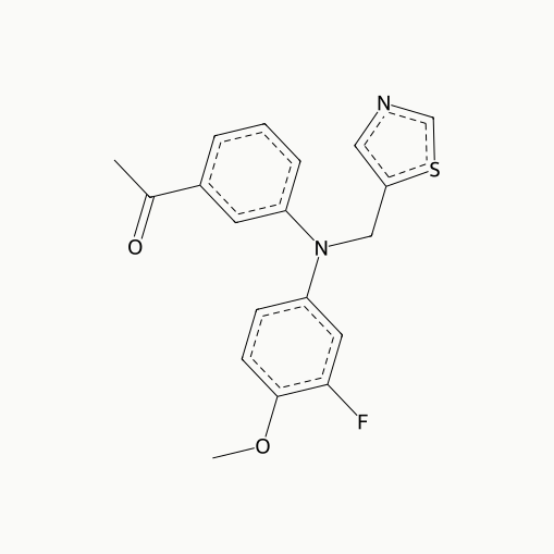 COc1ccc(N(Cc2cncs2)c2cccc(C(C)=O)c2)cc1F